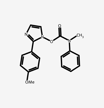 COc1ccc(-c2nccn2OC(=O)N(C)c2ccccc2)cc1